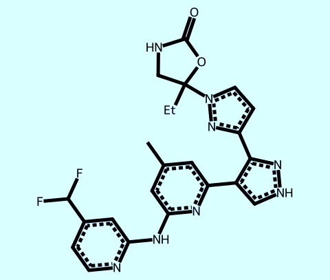 CCC1(n2ccc(-c3n[nH]cc3-c3cc(C)cc(Nc4cc(C(F)F)ccn4)n3)n2)CNC(=O)O1